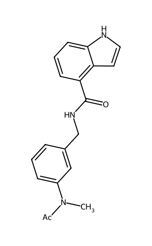 CC(=O)N(C)c1cccc(CNC(=O)c2cccc3[nH]ccc23)c1